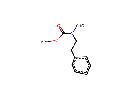 CCCOC(=O)N(C=O)CCc1ccccc1